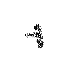 C=C(c1ccc(-c2sc(-c3ccc(-c4cc(F)c(-c5cccs5)c5nsnc45)s3)c(OCCCCCCCCCCCC)c2OCCCCCCCCCCCC)s1)c1nsnc1CC